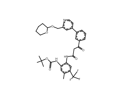 Cc1cc(NC(=O)OC(C)(C)C)c(NC(=O)CC(=O)c2cccc(-c3ccnc(COC4CCCCO4)c3)c2)cc1C(F)(F)F